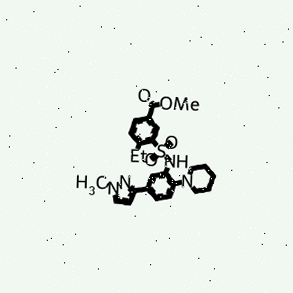 CCc1ccc(C(=O)OC)cc1S(=O)(=O)Nc1cc(-c2ccn(C)n2)ccc1N1CCCCC1